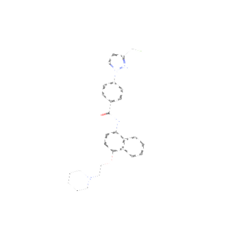 O=C(Nc1ccc(OCCN2CCCCC2)c2ccccc12)c1ccc(-n2ccc(CF)n2)cc1